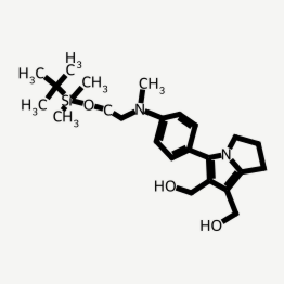 CN(CCO[Si](C)(C)C(C)(C)C)c1ccc(-c2c(CO)c(CO)c3n2CCC3)cc1